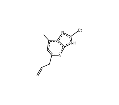 C=CCc1cc(C)c2nc(CC)[nH]c2n1